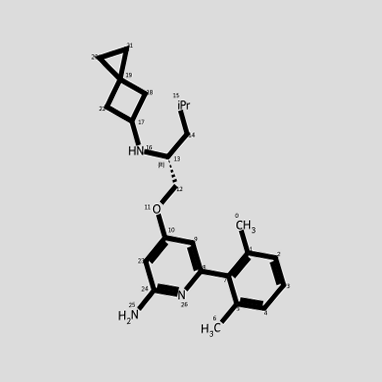 Cc1cccc(C)c1-c1cc(OC[C@@H](CC(C)C)NC2CC3(CC3)C2)cc(N)n1